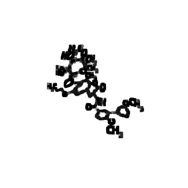 CCCOc1cc2cc(NC(=O)c3ccc(OC)c(-c4cccc(OC)c4)c3)c(=O)oc2c(C)c1O[C@@H]1OC(C)(C)[C@H](OC)[C@@H](O)[C@@H]1O